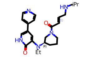 CCN(c1cc(-c2ccncc2)c[nH]c1=O)[C@@H]1CCCN(C(=O)/C=C/CNC(C)C)C1